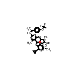 Cc1nc(N[C@H](C)c2ccc(OC(F)(F)F)cc2)nc(NC2C[C@H](CS(C)(=O)=O)[C@@H](O)[C@H]2O)c1-c1nc2c(C3CC3)nccc2s1